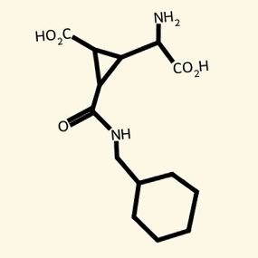 NC(C(=O)O)C1C(C(=O)O)C1C(=O)NCC1CCCCC1